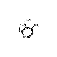 Cl.Nc1ccncc1F.O=CO